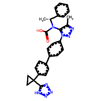 Cc1nnn(-c2ccc(-c3ccc(C4(c5nnn[nH]5)CC4)cc3)cc2)c1N(C(=O)O)[C@H](C)c1ccccc1